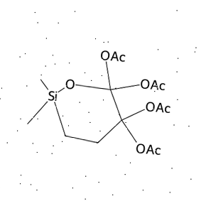 CC(=O)OC1(OC(C)=O)CC[Si](C)(C)OC1(OC(C)=O)OC(C)=O